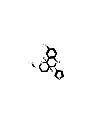 CC(C)(C)c1ccc2c(c1)[C@H]1O[C@@H](CO)CC[C@H]1[C@H](c1ccsc1)N2